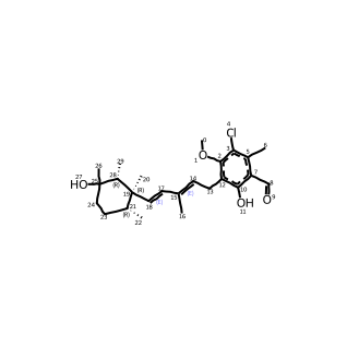 COc1c(Cl)c(C)c(C=O)c(O)c1C/C=C(C)/C=C/[C@@]1(C)[C@H](C)CCC(C)(O)[C@@H]1C